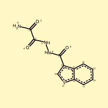 NC(=O)C(=O)NNC(=O)c1csc2ccccc12